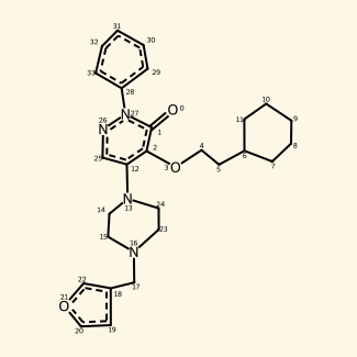 O=c1c(OCCC2CCCCC2)c(N2CCN(Cc3ccoc3)CC2)cnn1-c1ccccc1